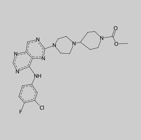 COC(=O)N1CCC(N2CCN(c3ncc4ncnc(Nc5ccc(F)c(Cl)c5)c4n3)CC2)CC1